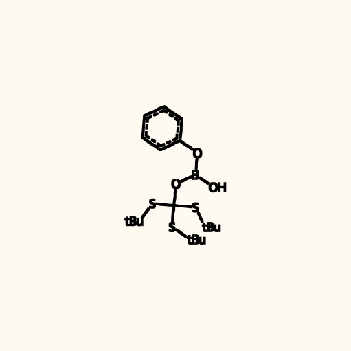 CC(C)(C)SC(OB(O)Oc1ccccc1)(SC(C)(C)C)SC(C)(C)C